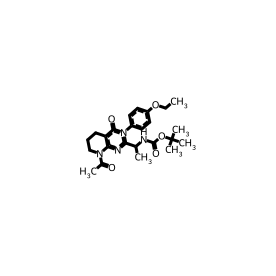 CCOc1ccc(-n2c(C(C)NC(=O)OC(C)(C)C)nc3c(c2=O)CCCN3C(C)=O)cc1